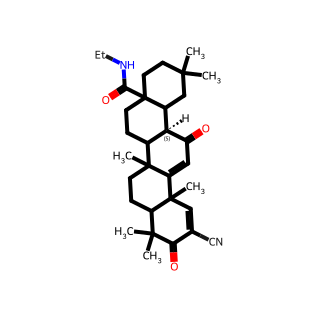 CCNC(=O)C12CCC3[C@H](C(=O)C=C4C5(C)C=C(C#N)C(=O)C(C)(C)C5CCC43C)C1CC(C)(C)CC2